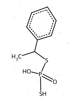 CC(SP(=O)(O)S)c1ccccc1